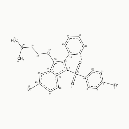 CC(C)c1ccc(S(=O)(=O)n2c(-c3ccccc3)c(OCCN(C)C)c3cc(Br)ccc32)cc1